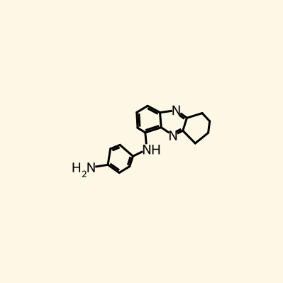 Nc1ccc(Nc2cccc3nc4c(nc23)CCCC4)cc1